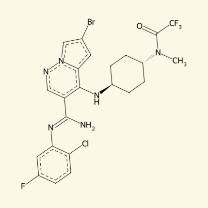 CN(C(=O)C(F)(F)F)[C@H]1CC[C@H](Nc2c(/C(N)=N/c3cc(F)ccc3Cl)cnn3cc(Br)cc23)CC1